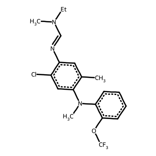 CCN(C)C=Nc1cc(C)c(N(C)c2ccccc2OC(F)(F)F)cc1Cl